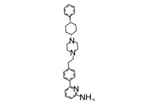 Nc1cccc(-c2ccc(CCN3CCN([C@H]4CC[C@H](c5ccccc5)CC4)CC3)cc2)n1